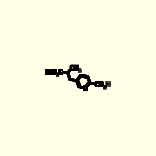 CCOC(=O)C(C)Cc1ccc(C(=O)O)nc1